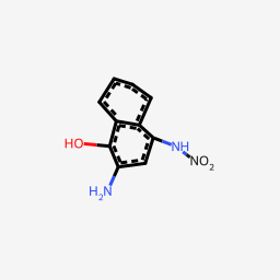 Nc1cc(N[N+](=O)[O-])c2ccccc2c1O